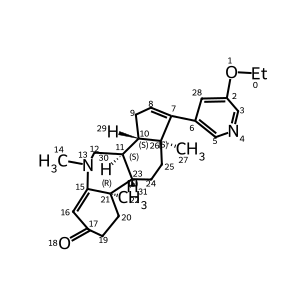 CCOc1cncc(C2=CC[C@H]3[C@@H]4CN(C)C5=CC(=O)CC[C@]5(C)[C@H]4CC[C@]23C)c1